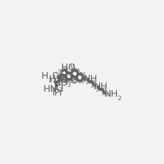 CC(C)NC(=O)CC[C@@H](C)[C@H]1CCC2C3C(C[C@H](O)[C@@]21C)[C@@]1(C)CC[C@H](NCCCNCCCN)CC1C[C@H]3O